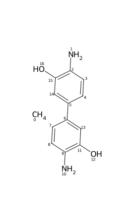 C.Nc1ccc(-c2ccc(N)c(O)c2)cc1O